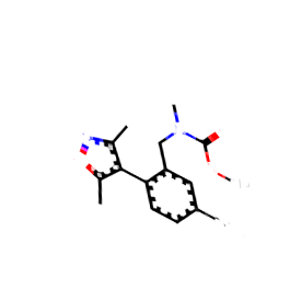 Cc1noc(C)c1-c1ccc([N+](=O)[O-])cc1CN(C)C(=O)OC(C)(C)C